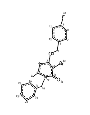 Cc1cc(OCc2ccc(F)cc2)c(Br)c(=O)n1Cc1ccncc1